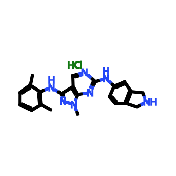 Cc1cccc(C)c1Nc1nn(C)c2nc(Nc3ccc4c(c3)CNC4)ncc12.Cl